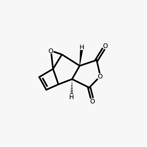 O=C1OC(=O)[C@H]2C3OC34C=CC4[C@H]12